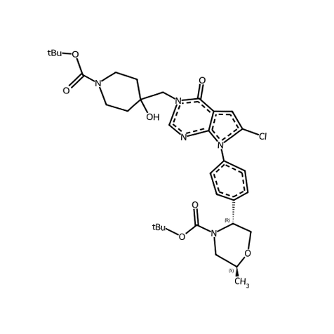 C[C@H]1CN(C(=O)OC(C)(C)C)[C@H](c2ccc(-n3c(Cl)cc4c(=O)n(CC5(O)CCN(C(=O)OC(C)(C)C)CC5)cnc43)cc2)CO1